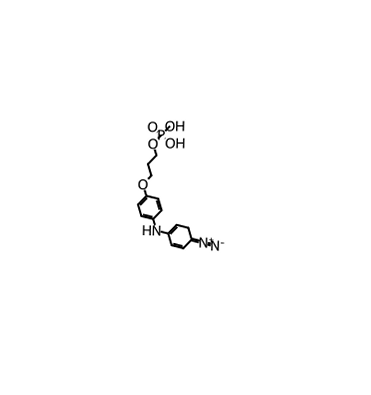 [N-]=[N+]=C1C=CC(Nc2ccc(OCCCOP(=O)(O)O)cc2)=CC1